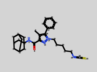 Cc1c(C(=O)NC23CC4CC(CC(C4)C2)C3)nn(CCCCCN=C=S)c1-c1ccccc1